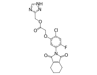 O=C(COc1cc(N2C(=O)C3=C(CCCC3)C2=O)c(F)cc1Cl)OCc1nc[nH]n1